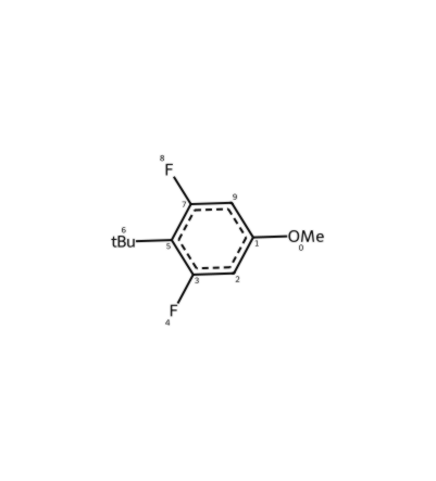 COc1cc(F)c(C(C)(C)C)c(F)c1